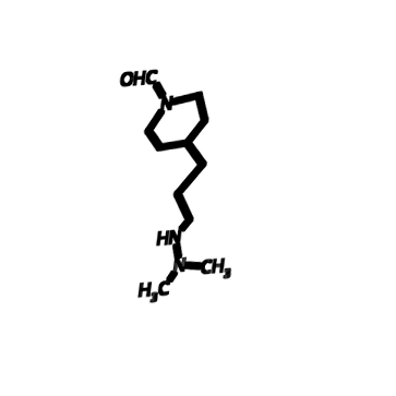 CN(C)NCCCC1CCN(C=O)CC1